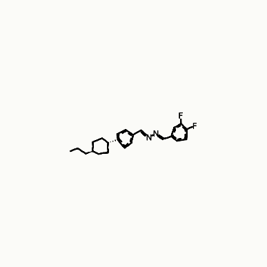 CCC[C@H]1CC[C@H](c2ccc(C=NN=Cc3ccc(F)c(F)c3)cc2)CC1